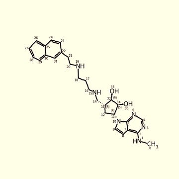 CNc1ncnc2c1ccn2[C@@H]1C[C@H](CNCCCNCCc2ccc3ccccc3c2)[C@@H](O)[C@H]1O